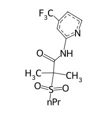 CCCS(=O)(=O)C(C)(C)C(=O)Nc1cc(C(F)(F)F)ccn1